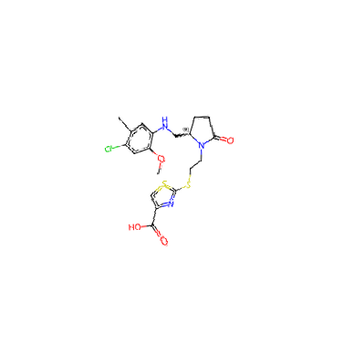 COc1cc(Cl)c(C)cc1NC[C@H]1CCC(=O)N1CCSc1nc(C(=O)O)cs1